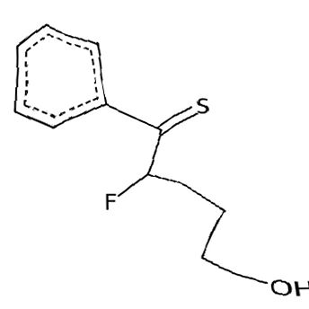 OCCC(F)C(=S)c1ccccc1